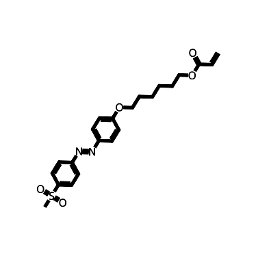 C=CC(=O)OCCCCCCOc1ccc(N=Nc2ccc(S(C)(=O)=O)cc2)cc1